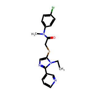 CCn1c(SCC(=O)N(C)c2ccc(Br)cc2)cnc1-c1cccnc1